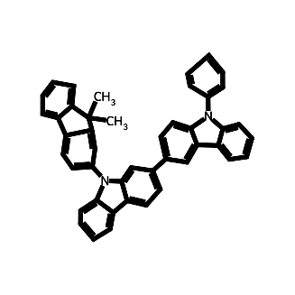 CC1(C)c2ccccc2-c2ccc(-n3c4ccccc4c4ccc(-c5ccc6c(c5)c5ccccc5n6-c5ccccc5)cc43)cc21